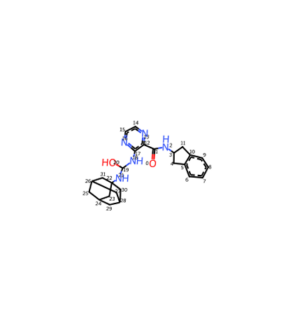 O=C(NC1Cc2ccccc2C1)c1nccnc1NC(O)NC12CC3CC(CC(C3)C1)C2